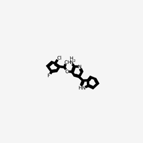 CC(Oc1cc(-c2c[nH]c3ccccc23)cnc1N)c1cc(F)ccc1Cl